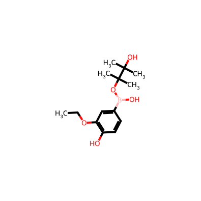 CCOc1cc(B(O)OC(C)(C)C(C)(C)O)ccc1O